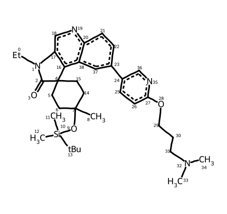 CCN1C(=O)C2(CCC(C)(O[Si](C)(C)C(C)(C)C)CC2)c2c1cnc1ccc(-c3ccc(OCCCN(C)C)nc3)cc21